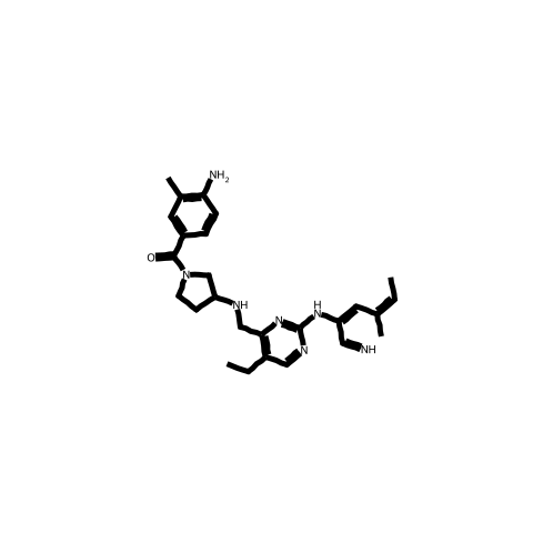 C/C=C(C)\C=C(/C=N)Nc1ncc(CC)c(CNC2CCN(C(=O)c3ccc(N)c(C)c3)C2)n1